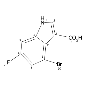 O=C(O)c1c[nH]c2cc(F)cc(Br)c12